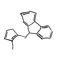 CC1=[C]([Zr][CH]2c3ccccc3-c3ccccc32)CC=C1